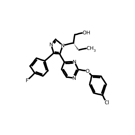 CC[C@@H](CO)n1cnc(-c2ccc(F)cc2)c1-c1ccnc(Oc2ccc(Cl)cc2)n1